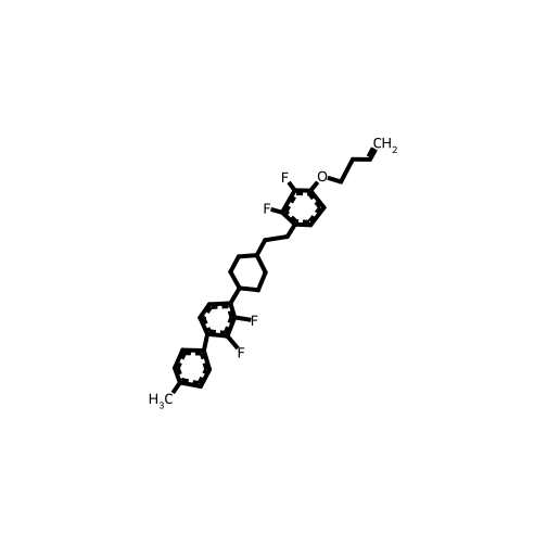 C=CCCOc1ccc(CCC2CCC(c3ccc(-c4ccc(C)cc4)c(F)c3F)CC2)c(F)c1F